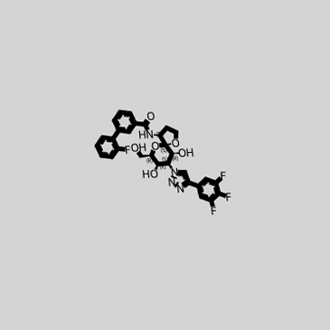 O=C(N[C@@H]1CCO[C@]12O[C@H](CO)[C@H](O)[C@H](n1cc(-c3cc(F)c(F)c(F)c3)nn1)[C@H]2O)c1cccc(-c2ccccc2F)c1